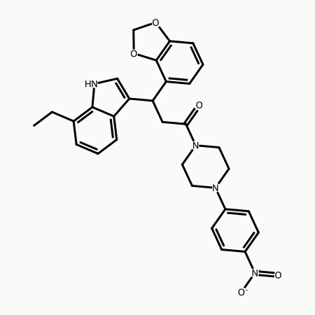 CCc1cccc2c(C(CC(=O)N3CCN(c4ccc([N+](=O)[O-])cc4)CC3)c3cccc4c3OCO4)c[nH]c12